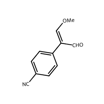 COC=C(C=O)c1ccc(C#N)cc1